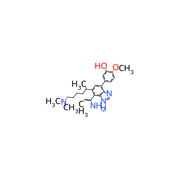 CC=C(N)c1c(C(C)CCCCN(C)C)cc(-c2ccc(OC)c(O)c2)c2nc[nH]c12